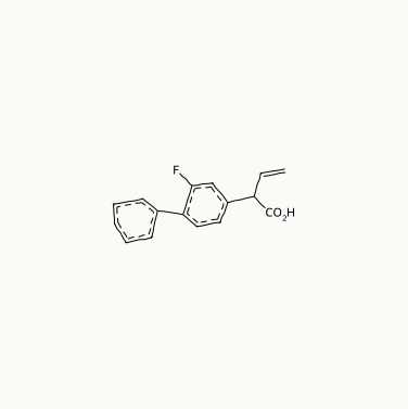 C=CC(C(=O)O)c1ccc(-c2ccccc2)c(F)c1